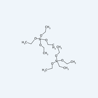 CCO[Si](CC)(OCC)OCC.CCO[Si](OCC)(OCC)OCC